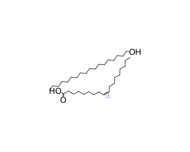 CCCCCCCC/C=C\CCCCCCCC(=O)O.CCCCCCCCCCCCCCCCCCO